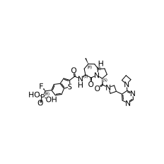 C[C@H]1C[C@H]2CC[C@@H](C(=O)N3CC(c4cncnc4N4CCC4)C3)N2C(=O)[C@@H](NC(=O)c2cc3cc([C@H](F)P(=O)(O)O)ccc3s2)C1